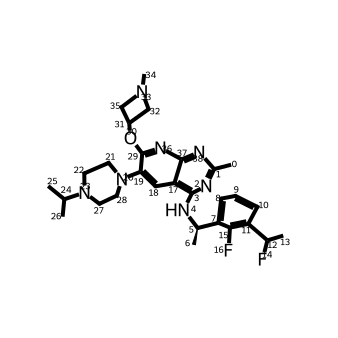 Cc1nc(N[C@H](C)c2cccc(C(C)F)c2F)c2cc(N3CCN(C(C)C)CC3)c(OC3CN(C)C3)nc2n1